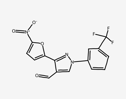 O=Cc1cn(-c2cccc(C(F)(F)F)c2)nc1-c1ccc([N+](=O)[O-])o1